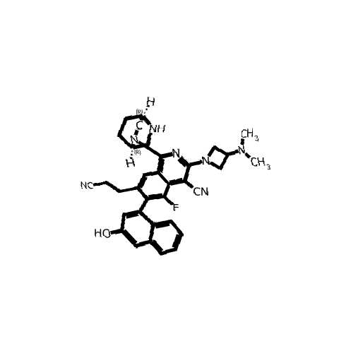 CN(C)C1CN(c2nc(N3C[C@H]4CC[C@@H]3CN4)c3cc(CCC#N)c(-c4cc(O)cc5ccccc45)c(F)c3c2C#N)C1